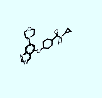 O=C(NC1CC1)C1CCC(Oc2cc(N3CCOCC3)cc3ncncc23)CC1